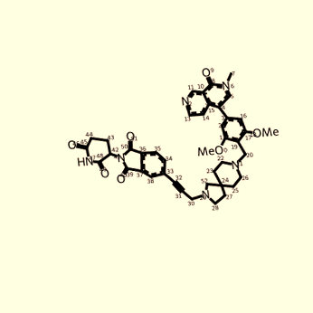 COc1cc(-c2cn(C)c(=O)c3cnccc23)cc(OC)c1CN1CCC2(CC1)CCN(CC#Cc1ccc3c(c1)C(=O)N(C1CCC(=O)NC1=O)C3=O)C2